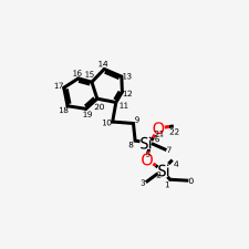 CC[Si](C)(C)O[Si](C)(CCCc1cccc2ccccc12)OC